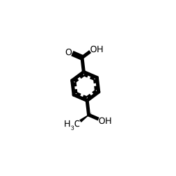 C[C@H](O)c1ccc(C(=O)O)cc1